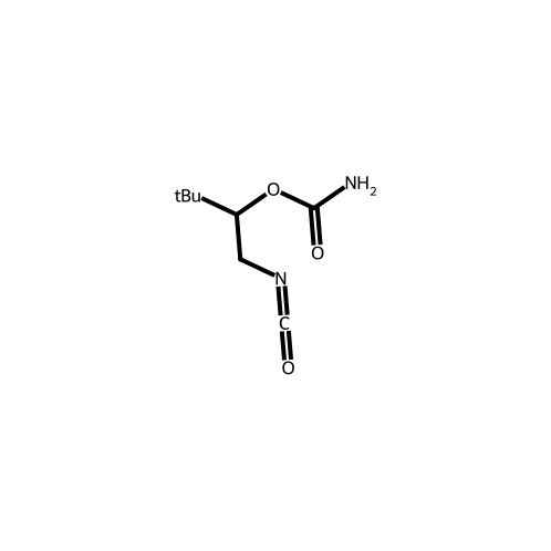 CC(C)(C)C(CN=C=O)OC(N)=O